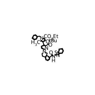 CCOC(=O)c1cc(-c2ccc(N3CCc4cccc(C(=O)Nc5nc6ccccc6s5)c4C3)nc2C(=O)OC(C)(C)C)c(C)n1Cc1ccccc1